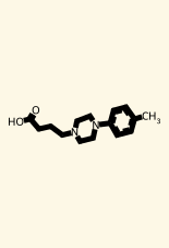 Cc1ccc(N2CCN(CCCC(=O)O)CC2)cc1